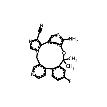 CC1(C)Oc2cc(cnc2N)-c2c(C#N)ncn2Cc2cnccc2-c2ccc(F)cc21